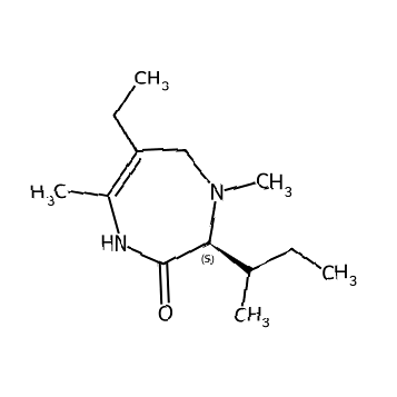 CCC1=C(C)NC(=O)[C@H](C(C)CC)N(C)C1